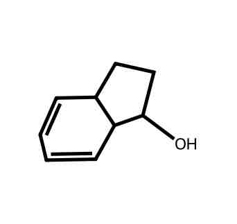 OC1CCC2C=CC=CC12